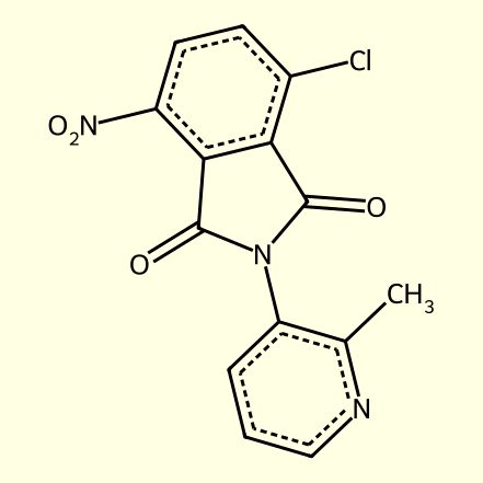 Cc1ncccc1N1C(=O)c2c(Cl)ccc([N+](=O)[O-])c2C1=O